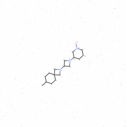 CC1CCC2(CC1)CN(C1CN(C3CCCN(I)C3)C1)C2